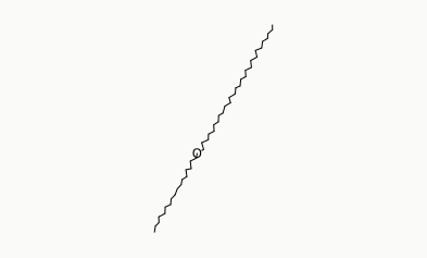 CCCCCCCCCCCCCCCCCCCCCCCCCCCCOCCCCCCCCCCCCCCCCC